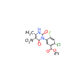 Cc1[nH]c(=O)n(-c2cc(C(=O)OC(C)C)c(Cl)cc2F)c(=O)c1[N+](=O)[O-]